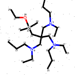 CCCN(CC)CC(CN(CC)CCC)(CN(CC)CCC)C[Si](C)(C)OCC